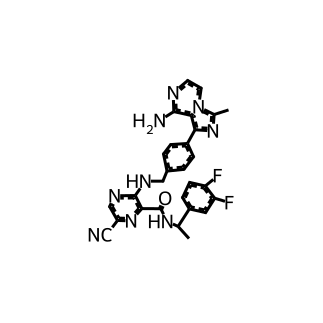 Cc1nc(-c2ccc(CNc3ncc(C#N)nc3C(=O)NC(C)c3ccc(F)c(F)c3)cc2)c2c(N)nccn12